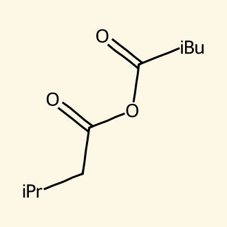 CCC(C)C(=O)OC(=O)CC(C)C